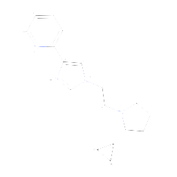 c1ccc(-c2cn(CCN3CCC[C@@H]3C3CC3)cn2)nc1